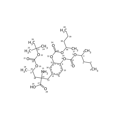 CCCC(C)OC(=O)Oc1ccc(CC(N)(C[C@H](C)OC(=O)OC(C)(C)C)C(=O)O)cc1OC(=O)OC(C)CCC